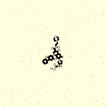 CC(=O)N[C@@H]1CCN(c2c(F)cc3c(=O)c(C(=O)NCCN4CCOCC4)cn4c3c2Oc2cc3c(cc2-4)oc2ccccc23)C1